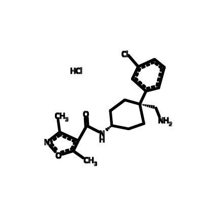 Cc1noc(C)c1C(=O)N[C@H]1CC[C@](CN)(c2cccc(Cl)c2)CC1.Cl